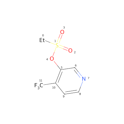 CCS(=O)(=O)Oc1cnccc1C(F)(F)F